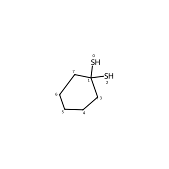 SC1(S)[CH]CCCC1